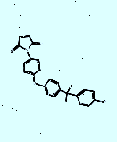 CCCc1ccc(C(C)(C)c2ccc(Oc3ccc(N4C(=O)C=CC4=O)cc3)cc2)cc1